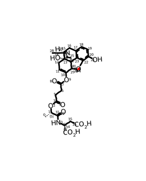 C[C@H](OC(=O)CCC(=O)OC1=CC[C@@]2(O)[C@H]3Cc4ccc(O)c5c4[C@@]2(CCN3C)[C@H]1O5)C(=O)N[C@@H](CC(=O)O)C(=O)O